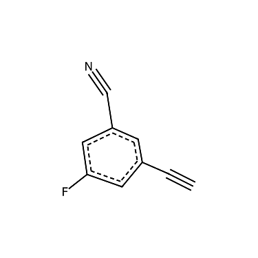 C#Cc1cc(F)cc(C#N)c1